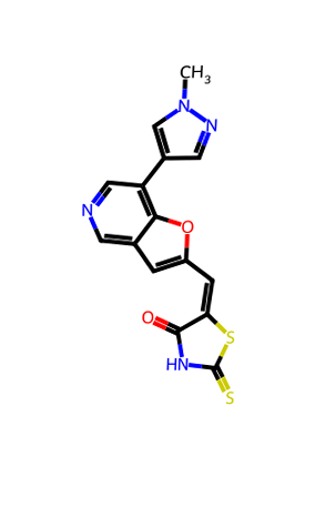 Cn1cc(-c2cncc3cc(/C=C4/SC(=S)NC4=O)oc23)cn1